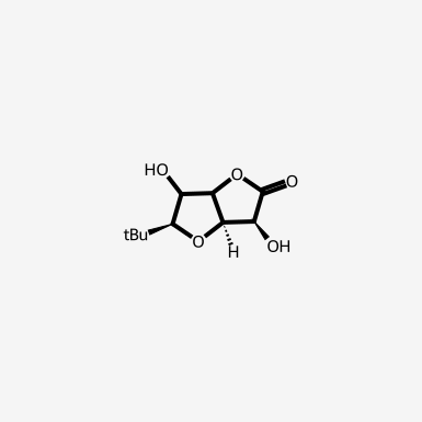 CC(C)(C)[C@@H]1O[C@H]2C(OC(=O)[C@H]2O)C1O